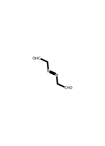 O=CCN=NCC=O